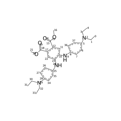 CCN(CC)c1ccc(Nc2cc(C(=O)OC)c(C(=O)OC)cc2Nc2ccc(N(CC)CC)cc2)cc1